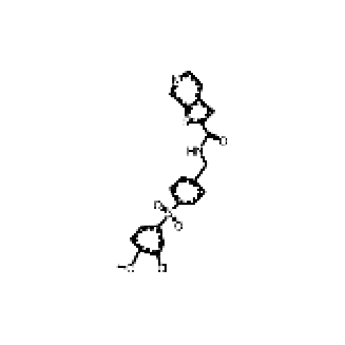 COc1ccc(S(=O)(=O)c2ccc(CNC(=O)c3cc4ccncc4s3)cc2)cc1Cl